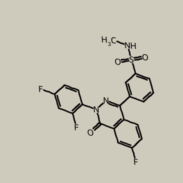 CNS(=O)(=O)c1cccc(-c2nn(-c3ccc(F)cc3F)c(=O)c3cc(F)ccc23)c1